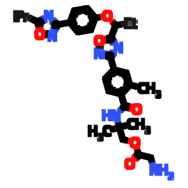 CCC(Oc1ccc(-c2noc(C(C)C)n2)cc1)c1nc(-c2ccc(C(=O)NC(C)(C)COC(=O)CN)c(C)c2)no1